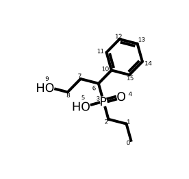 CCCP(=O)(O)C(CCO)c1ccccc1